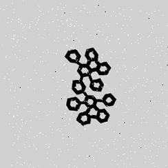 c1ccc(-c2cc(-c3cccc(-c4cc(-c5ccccc5)c5c6ccccc6c6ccccc6c5c4-c4ccccc4)c3)c(-c3ccccc3)c3c4ccccc4c4ccccc4c23)cc1